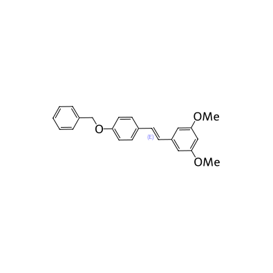 COc1cc(/C=C/c2ccc(OCc3ccccc3)cc2)cc(OC)c1